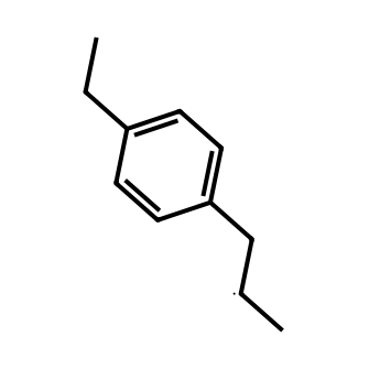 C[CH]Cc1ccc(CC)cc1